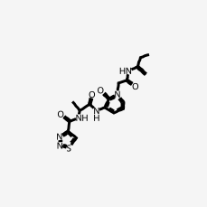 C=C(CC)NC(=O)Cn1cccc(NC(=O)C(C)NC(=O)c2csnn2)c1=O